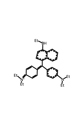 CCBc1ccc(C(=C2C=CC(=[N+](CC)CC)C=C2)c2ccc(N(CC)CC)cc2)c2ccccc12